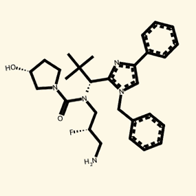 CC(C)(C)[C@H](c1nc(-c2ccccc2)cn1Cc1ccccc1)N(C[C@@H](F)CN)C(=O)N1CC[C@@H](O)C1